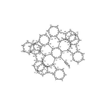 Cc1cccc2c3ccccc3n(-c3c(C#N)c(-n4c5ccccc5c5cccc(C)c54)c(-n4c5ccccc5c5cccc(C)c54)c(-c4cccc5c4oc4cnccc45)c3-n3c4ccccc4c4cccc(C)c43)c12